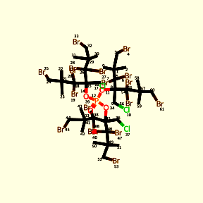 CC(C)(CBr)C(Br)(Br)C(CCl)(OP(=O)(OC(CCl)(C(Br)(Br)C(C)(C)CBr)C(Br)(Br)C(C)(C)CBr)OC(CCl)(C(Br)(Br)C(C)(C)CBr)C(Br)(Br)C(C)(C)CBr)C(Br)(Br)C(C)(C)CBr